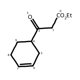 CCOC(=O)CC(=O)C1CC=CCC1